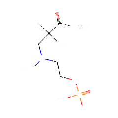 CCC(C)(CN(C)CCOP(=O)(O)O)C(=O)OC